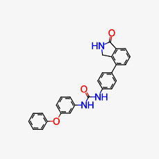 O=C(Nc1ccc(-c2cccc3c2CNC3=O)cc1)Nc1cccc(Oc2ccccc2)c1